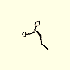 CCCP(Cl)Cl